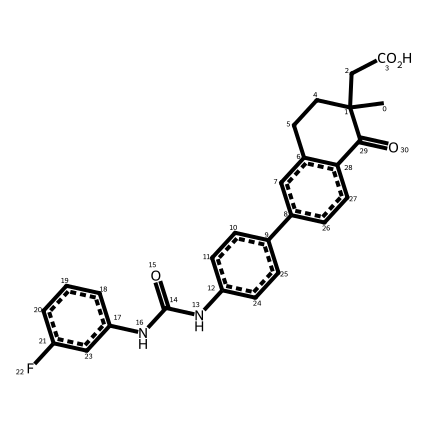 CC1(CC(=O)O)CCc2cc(-c3ccc(NC(=O)Nc4cccc(F)c4)cc3)ccc2C1=O